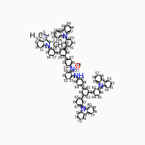 C=Cc1c(/C=C\C)c2ccccc2n1-c1cccc(-c2cc(-c3ccc(N(C=O)c4ccccc4Nc4ccc(-c5cc(-c6cccc(-n7c8ccccc8c8ccccc87)c6)cc(-c6cccc(-n7c8ccccc8c8ccccc87)c6)c5)cc4)cc3)cc(-c3cccc(-n4c5ccccc5c5ccccc54)c3)c2)c1